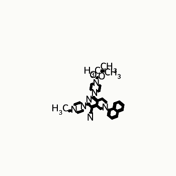 CCN1CCN(c2nc(N3CCN(C(=O)OC(C)(C)C)CC3)c3c(c2C#N)CN(c2cccc4ccccc24)CC3)CC1